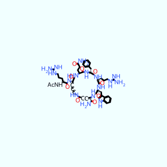 CC(=O)N[C@H](CCCNC(=N)N)C(=O)N[C@H]1CCCNC(=O)CC[C@@H](C(N)=O)NC(=O)[C@H](Cc2c[nH]c3ccccc23)NC(=O)[C@H](CCCNC(=N)N)NC(=O)[C@@H](Cc2ccccc2)NC(=O)C(CCC(N)=O)NC1=O